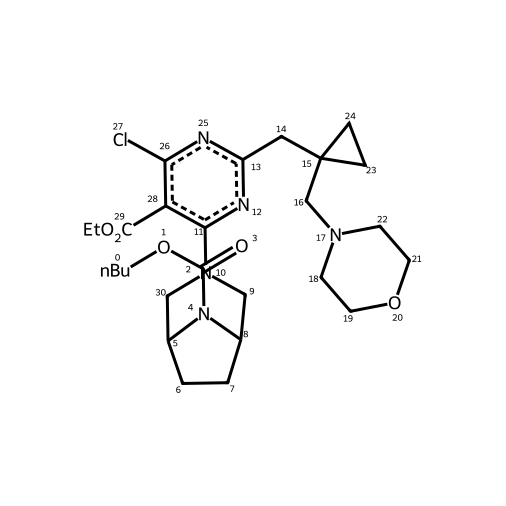 CCCCOC(=O)N1C2CCC1CN(c1nc(CC3(CN4CCOCC4)CC3)nc(Cl)c1C(=O)OCC)C2